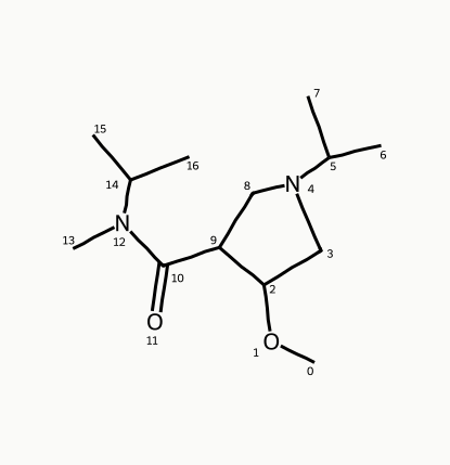 COC1CN(C(C)C)CC1C(=O)N(C)C(C)C